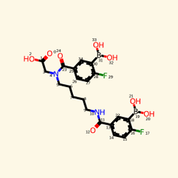 O=C(O)CN(CCCCCNC(=O)c1ccc(F)c(B(O)O)c1)C(=O)c1ccc(F)c(B(O)O)c1